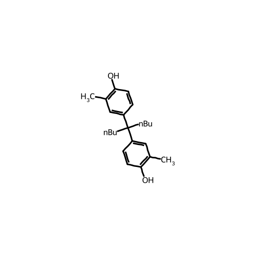 CCCCC(CCCC)(c1ccc(O)c(C)c1)c1ccc(O)c(C)c1